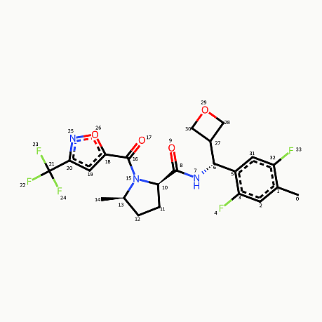 Cc1cc(F)c([C@H](NC(=O)[C@H]2CC[C@@H](C)N2C(=O)c2cc(C(F)(F)F)no2)C2COC2)cc1F